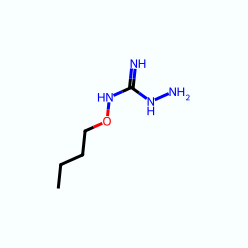 CCCCONC(=N)NN